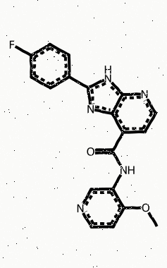 COc1ccncc1NC(=O)c1ccnc2[nH]c(-c3ccc(F)cc3)nc12